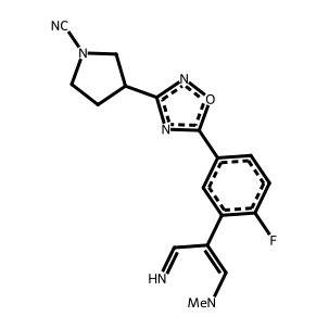 CN/C=C(\C=N)c1cc(-c2nc(C3CCN(C#N)C3)no2)ccc1F